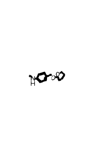 CNc1ccc(COC2CCCCO2)cc1